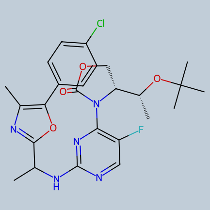 Cc1nc(C(C)Nc2ncc(F)c(N3C(=O)OC[C@@H]3[C@@H](C)OC(C)(C)C)n2)oc1-c1ccc(Cl)cc1